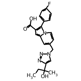 CCC(C)(O)c1cn(Cc2ccn3c(-c4ccc(F)cc4)c(C(=O)O)cc3c2)nn1